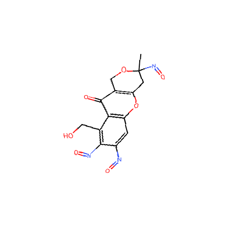 CC1(N=O)Cc2oc3cc(N=O)c(N=O)c(CO)c3c(=O)c2CO1